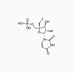 O=c1ccn([C@@H]2O[C@](CF)(COP(=O)(O)O)[C@@H](O)[C@H]2F)c(=O)[nH]1